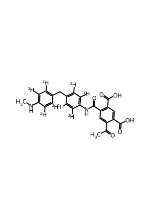 [2H]c1c([2H])c(NC)c([2H])c([2H])c1Cc1c([2H])c([2H])c(NC(=O)c2cc(C(C)=O)c(C(=O)O)cc2C(=O)O)c([2H])c1[2H]